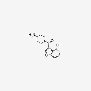 COc1cccc2occ(C(=O)N3CCC(N)CC3)c12